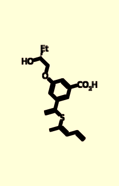 C=C/C=C(/C)SC(=C)c1cc(OC[C@H](O)CC)cc(C(=O)O)c1